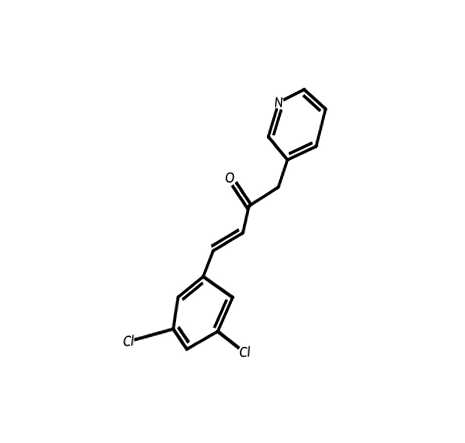 O=C(C=Cc1cc(Cl)cc(Cl)c1)Cc1cccnc1